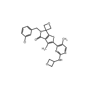 Cc1cnc(NC2COC2)nc1-c1sc2c(c1C)C(=O)N(Cc1cccc(Cl)c1)C21COC1